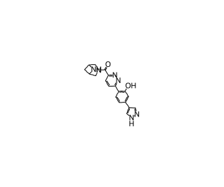 O=C(c1ccc(-c2ccc(-c3cn[nH]c3)cc2O)nn1)N1CC2CC(C1)N2